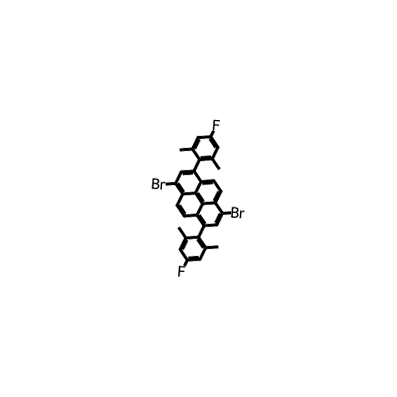 Cc1cc(F)cc(C)c1-c1cc(Br)c2ccc3c(-c4c(C)cc(F)cc4C)cc(Br)c4ccc1c2c43